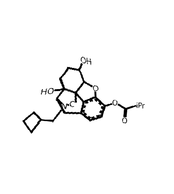 CC(C)C(=O)Oc1ccc2c3c1OC1C(O)CCC4(O)C(C2)N(CC2CCC2)CCC314